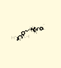 O=C1Nc2cc(C=CCNC(=O)c3cncn(Cc4ccc(F)c(F)c4)c3=O)ccc2C1=Cc1ncc[nH]1